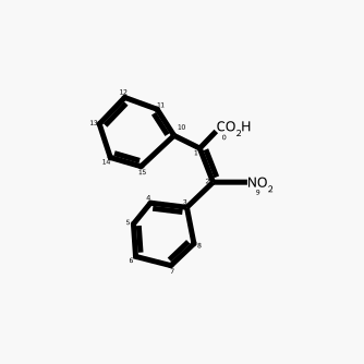 O=C(O)C(=C(c1ccccc1)[N+](=O)[O-])c1ccccc1